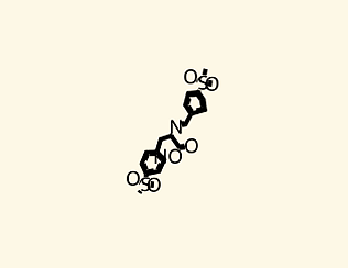 CS(=O)(=O)c1ccc(C=NC(Cc2ccc(S(C)(=O)=O)cc2)C(=O)O)cc1